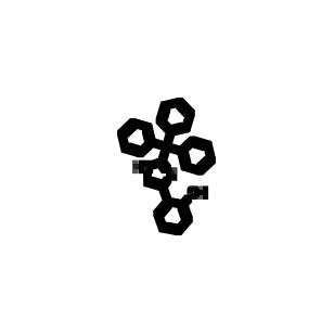 Oc1ccccc1-c1c[nH]c(C(c2ccccc2)(c2ccccc2)c2ccccc2)n1